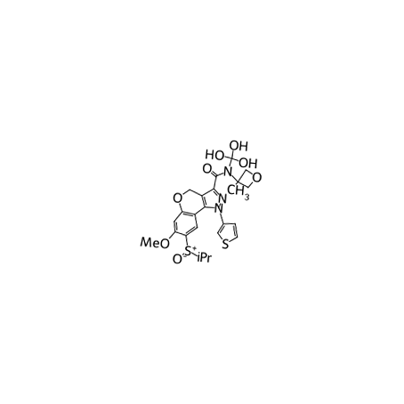 COc1cc2c(cc1[S+]([O-])C(C)C)-c1c(c(C(=O)N(C(O)(O)O)C3(C)COC3)nn1-c1ccsc1)CO2